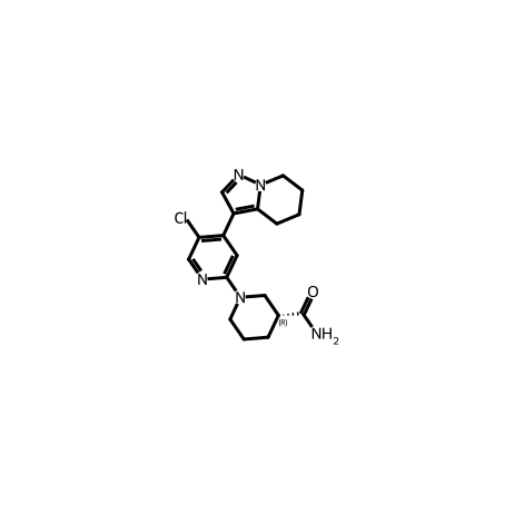 NC(=O)[C@@H]1CCCN(c2cc(-c3cnn4c3CCCC4)c(Cl)cn2)C1